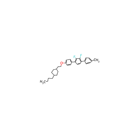 CCCCC1CCC(CCOc2ccc(-c3ccc(-c4ccc(C)cc4)c(F)c3F)cc2)CC1